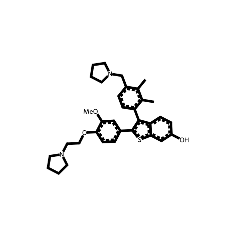 COc1cc(-c2sc3cc(O)ccc3c2-c2ccc(CN3CCCC3)c(C)c2C)ccc1OCCN1CCCC1